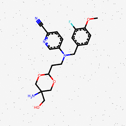 COc1ccc(CN(CCC2OCC(N)(CO)CO2)c2ccc(C#N)nc2)cc1F